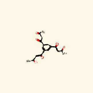 CC(C)(C)C(=O)CC(=O)c1cc(C(=O)CC(=O)C(C)(C)C)cc(C(=O)CC(=O)C(C)(C)C)c1